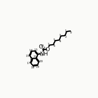 CCCCCCCCOC(=O)Nc1cccc2ccccc12